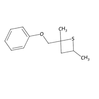 CC1CC(C)(COc2ccccc2)S1